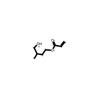 [CH2]C([CH]COC(=O)C=C)CO